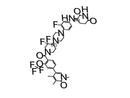 Cc1c(-c2ccc(C(=O)N3CC[C@@H](N4CCN(c5ccc(N[C@@H]6CCC(=O)NC6=O)cc5F)CC4)C(F)(F)C3)c(OC(F)(F)F)c2)cn(C)c(=O)c1C